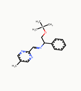 Cc1cnc(C=NC(CO[Si](C)(C)C)c2ccccc2)nc1